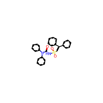 O=C(NS(=O)(=O)C=C(c1ccccc1)c1ccccc1)N(c1ccccc1)c1ccccc1